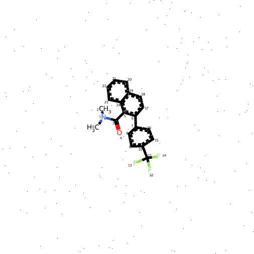 CN(C)C(=O)c1c(-c2ccc(C(F)(F)F)cc2)ccc2ccccc12